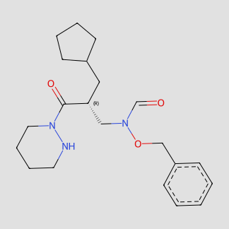 O=CN(C[C@@H](CC1CCCC1)C(=O)N1CCCCN1)OCc1ccccc1